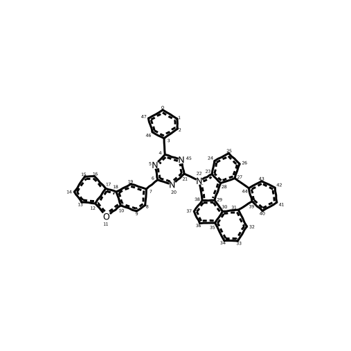 c1ccc(-c2nc(-c3ccc4oc5ccccc5c4c3)nc(-n3c4cccc5c4c4c6c(cccc6ccc43)-c3ccccc3-5)n2)cc1